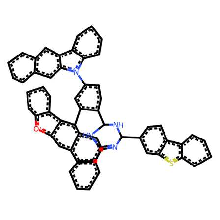 c1ccc(C2=NC(c3ccc4c(c3)sc3ccccc34)NC(c3ccc(-n4c5ccccc5c5cc6ccccc6cc54)cc3-c3c4ccccc4cc4oc5ccccc5c34)N2)cc1